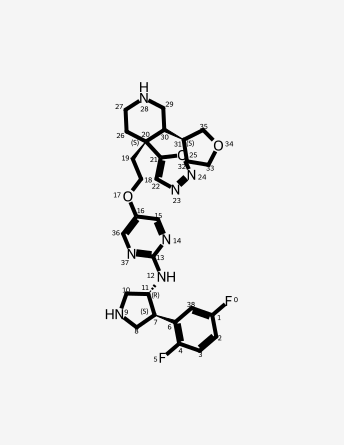 Fc1ccc(F)c([C@H]2CNC[C@@H]2Nc2ncc(OCC[C@@]3(c4cnno4)CCNCC3[C@@H]3CCOC3)cn2)c1